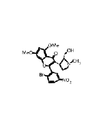 COc1cc(OC)c2c(=O)c([C@@H]3CCN(C)[C@H]3CO)c(-c3cc([N+](=O)[O-])ccc3Br)oc2c1